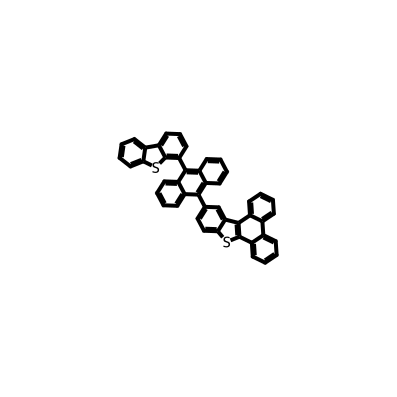 c1ccc2c(c1)sc1c(-c3c4ccccc4c(-c4ccc5sc6c7ccccc7c7ccccc7c6c5c4)c4ccccc34)cccc12